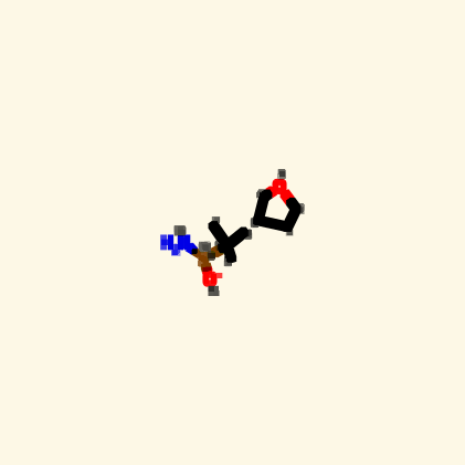 C1CCOC1.CC(C)(C)[S@+](N)[O-]